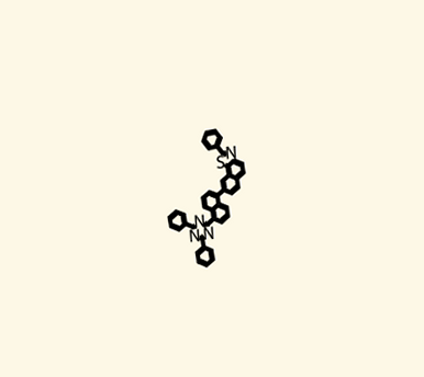 c1ccc(-c2nc(-c3ccccc3)nc(-c3cccc4c(-c5ccc6ccc7nc(-c8ccccc8)sc7c6c5)cccc34)n2)cc1